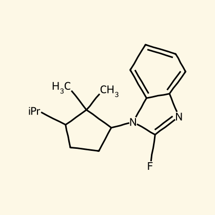 CC(C)C1CCC(n2c(F)nc3ccccc32)C1(C)C